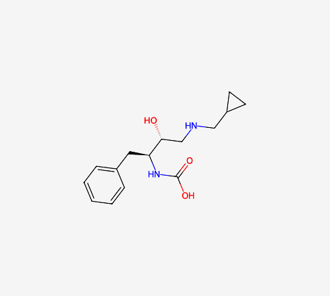 O=C(O)N[C@@H](Cc1ccccc1)[C@H](O)CNCC1CC1